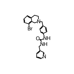 O=C(NCc1cccnc1)Nc1ccc(CN2CCc3cccc(Br)c3C2)cc1